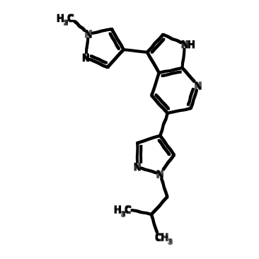 CC(C)Cn1cc(-c2cnc3[nH]cc(-c4cnn(C)c4)c3c2)cn1